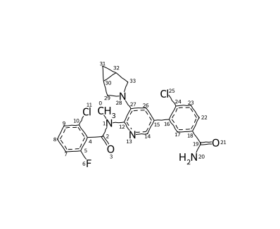 CN(C(=O)c1c(F)cccc1Cl)c1ncc(-c2cc(C(N)=O)ccc2Cl)cc1N1CC2CC2C1